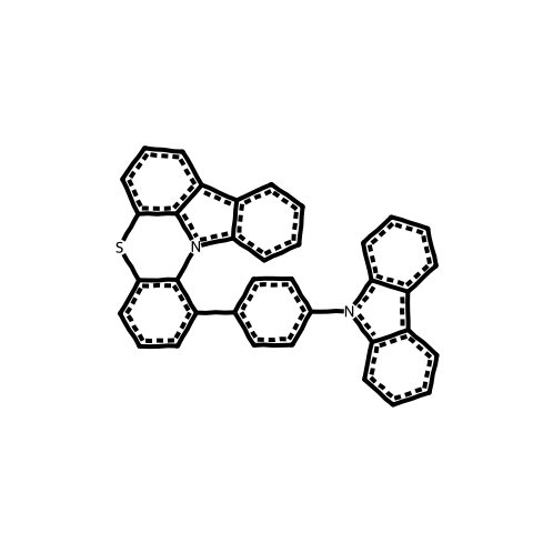 c1cc2c(c(-c3ccc(-n4c5ccccc5c5ccccc54)cc3)c1)-n1c3ccccc3c3cccc(c31)S2